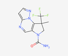 CC1(C(F)(F)F)CN(C(N)=O)c2cnc3ccnn3c21